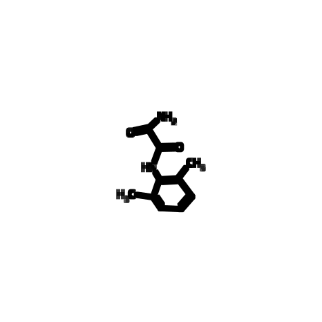 Cc1cccc(C)c1NC(=O)C(N)=O